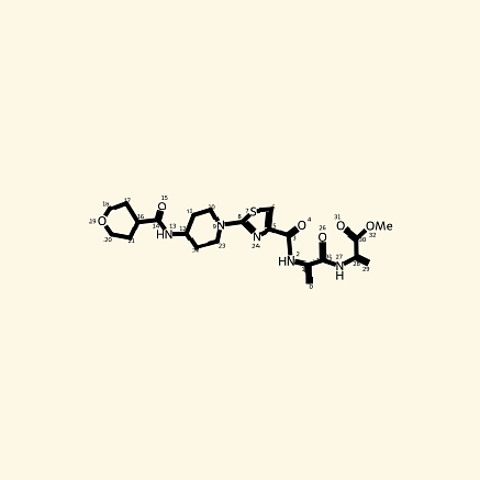 C=C(NC(=O)c1csc(N2CCC(NC(=O)C3CCOCC3)CC2)n1)C(=O)NC(=C)C(=O)OC